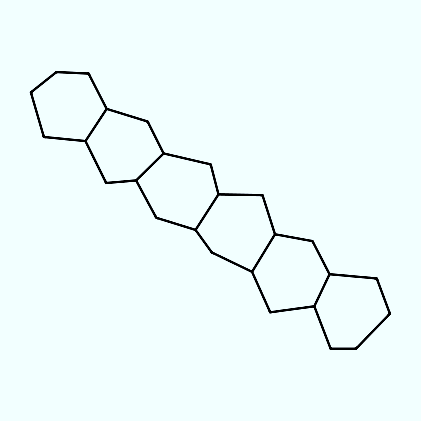 C1CCC2CC3CC4CC5CC6CCCCC6CC5CC4CC3CC2C1